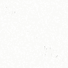 O=C(O)NCCCOCCOCCOCCCNC(=O)c1ccc(CCl)cc1